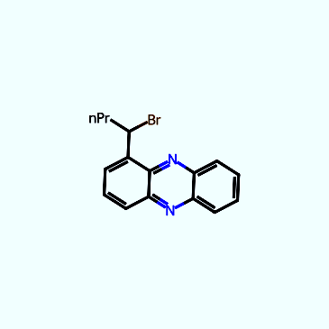 CCCC(Br)c1cccc2nc3ccccc3nc12